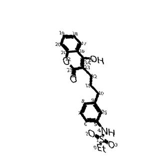 [CH2]CS(=O)(=O)Nc1cccc(CCCc2c(O)c3ccccc3oc2=O)c1